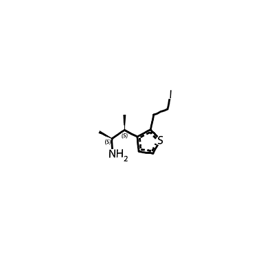 C[C@H](N)[C@@H](C)c1ccsc1CCI